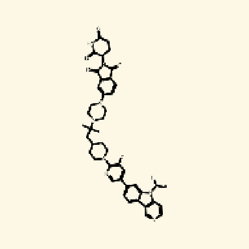 CC(C)(CC1CCN(c2ncc(-c3ccc4c5cnccc5n(C(F)F)c4c3)cc2F)CC1)N1CCN(c2ccc3c(c2)C(=O)N(C2CCC(=O)NC2=O)C3=O)CC1